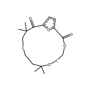 CC1(C)CCCCC(C)(C)C(=O)c2ccc(o2)C(=O)OCCO1